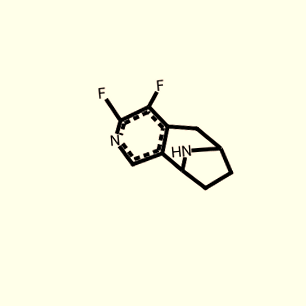 Fc1ncc2c(c1F)CC1CCC2N1